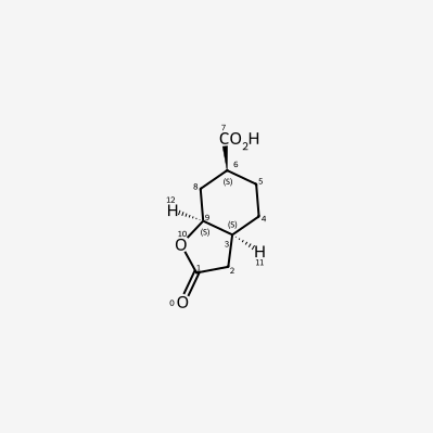 O=C1C[C@@H]2CC[C@H](C(=O)O)C[C@@H]2O1